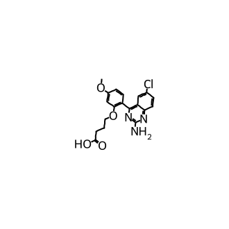 COc1ccc(-c2nc(N)nc3ccc(Cl)cc23)c(OCCCC(=O)O)c1